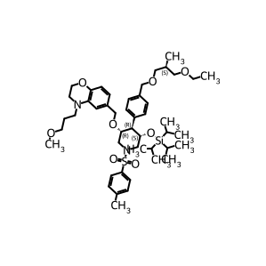 CCOC[C@H](C)COCc1ccc([C@@H]2[C@@H](OCc3ccc4c(c3)N(CCCOC)CCO4)CN(S(=O)(=O)c3ccc(C)cc3)C[C@H]2O[Si](C(C)C)(C(C)C)C(C)C)cc1